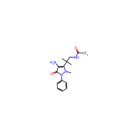 Cn1c(C(C)(C)CNC(=O)C(F)(F)F)c(N)c(=O)n1-c1ccccc1